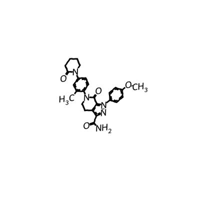 COc1ccc(-n2nc(C(N)=O)c3c2C(=O)N(c2ccc(N4CCCCC4=O)cc2C)CC3)cc1